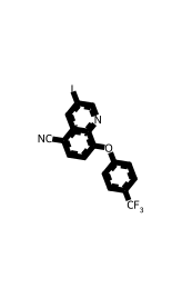 N#Cc1ccc(Oc2ccc(C(F)(F)F)cc2)c2ncc(I)cc12